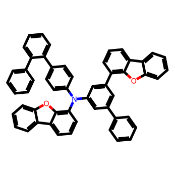 c1ccc(-c2cc(-c3cccc4c3oc3ccccc34)cc(N(c3ccc(-c4ccccc4-c4ccccc4)cc3)c3cccc4c3oc3ccccc34)c2)cc1